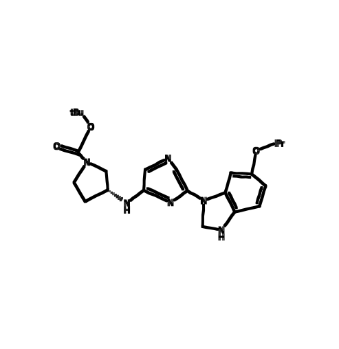 CC(C)Oc1ccc2c(c1)N(c1cncc(N[C@@H]3CCN(C(=O)OC(C)(C)C)C3)n1)CN2